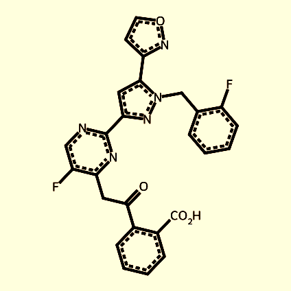 O=C(O)c1ccccc1C(=O)Cc1nc(-c2cc(-c3ccon3)n(Cc3ccccc3F)n2)ncc1F